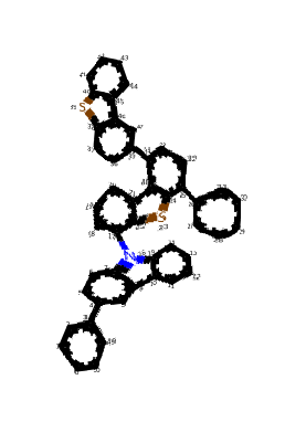 c1ccc(-c2ccc3c(c2)c2ccccc2n3-c2cccc3c2sc2c(-c4ccccc4)ccc(-c4ccc5sc6ccccc6c5c4)c23)cc1